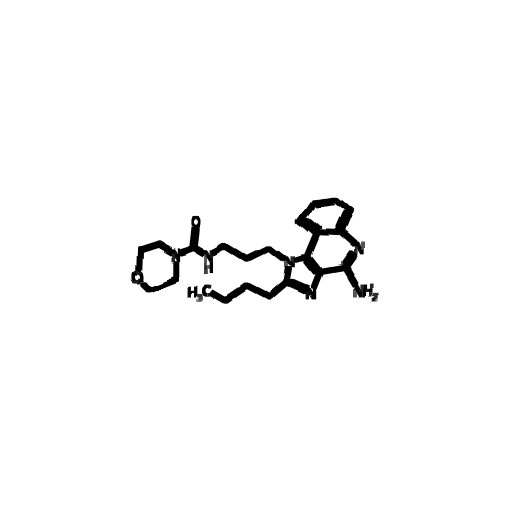 CCCCc1nc2c(N)nc3ccccc3c2n1CCCNC(=O)N1CCOCC1